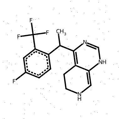 CC(C1=C2CCNC=C2NC=N1)c1ccc(F)cc1C(F)(F)F